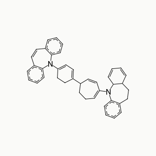 C1=CC2CCc3ccccc3N(C3=CCCC(C4=CC=C(N5c6ccccc6C=Cc6ccccc65)CC4)C=C3)C2C=C1